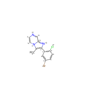 Cc1c(-c2cc(Br)ccc2Cl)nc2cnccn12